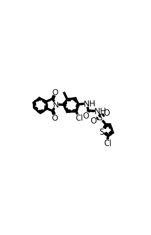 Cc1cc(NC(=O)NS(=O)(=O)c2ccc(Cl)s2)c(Cl)cc1N1C(=O)c2ccccc2C1=O